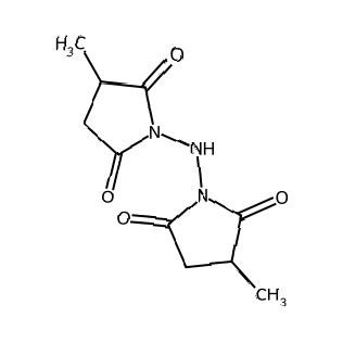 CC1CC(=O)N(NN2C(=O)CC(C)C2=O)C1=O